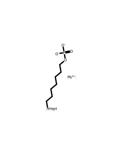 CCCCCCCCCCCCCCOP(=O)([O-])[O-].[Pb+2]